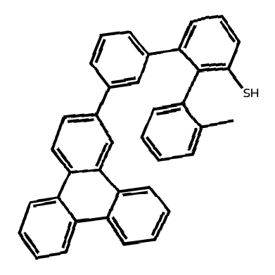 Cc1ccccc1-c1c(S)cccc1-c1cccc(-c2ccc3c4ccccc4c4ccccc4c3c2)c1